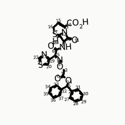 O=C(CON=C(C(=O)NC1C(=O)N2C(C(=O)O)=CCS[C@@H]12)c1cscn1)OC(c1ccccc1)c1ccccc1